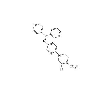 CCC1CN(c2cnc(N=C(c3ccccc3)c3ccccc3)cn2)CCN1C(=O)O